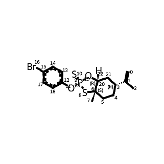 C=C(C)[C@@H]1CC[C@]2(C)S[P@](=S)(Oc3ccc(Br)cc3)O[C@@H]2C1